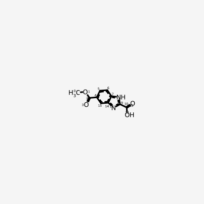 COC(=O)c1ccc2[nH]c(C(=O)O)nc2c1